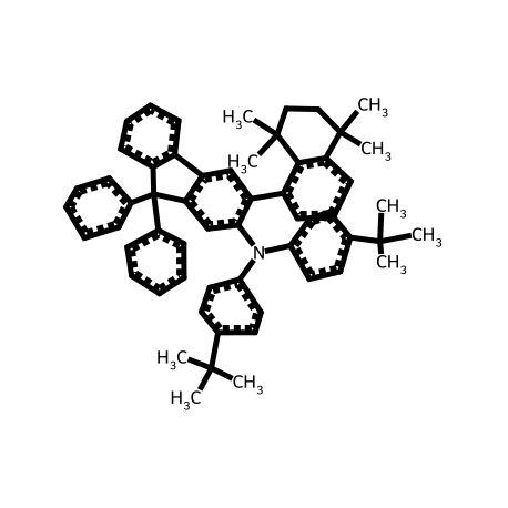 CC(C)(C)c1ccc(N(c2ccc(C(C)(C)C)cc2)c2cc3c(cc2-c2cccc4c2C(C)(C)CCC4(C)C)-c2ccccc2C3(c2ccccc2)c2ccccc2)cc1